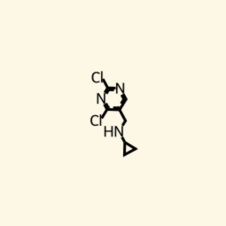 Clc1ncc(CNC2CC2)c(Cl)n1